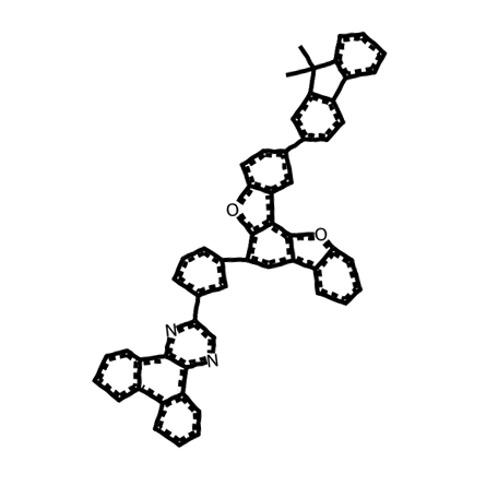 CC1(C)c2ccccc2-c2ccc(-c3ccc4oc5c(-c6cccc(-c7cnc8c9ccccc9c9ccccc9c8n7)c6)cc6c7ccccc7oc6c5c4c3)cc21